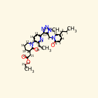 CCCc1ccc(=O)n(Cc2c(-c3ccc(N4CCC[C@H](CC(=O)OCC)C4=O)c(CC)n3)nnn2C)c1